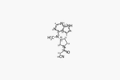 CN(c1ncnc2[nH]ccc12)[C@@H]1CCN(C(=O)CC#N)C1